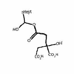 CCCCCCCC(O)OC(=O)CC(O)(CC(=O)O)C(=O)O